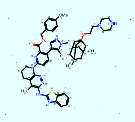 COc1ccc(COC(=O)c2nc(N3CCCc4c3nnc(Nc3nc5ccccc5s3)c4C)ccc2-c2cnn(C[C@]34C[C@]5(C)C[C@](C)(C3)C[C@@](OCCN3CCNCC3)(C5)C4)c2C)cc1